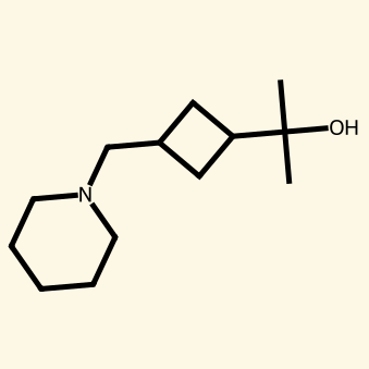 CC(C)(O)C1CC(CN2CCCCC2)C1